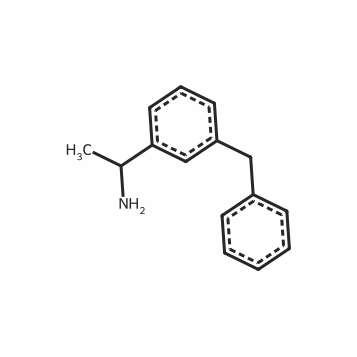 CC(N)c1cccc(Cc2ccccc2)c1